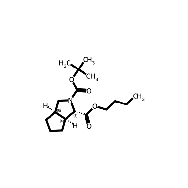 CCCCOC(=O)[C@@H]1[C@H]2CCC[C@H]2CN1C(=O)OC(C)(C)C